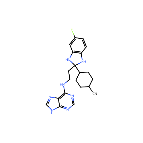 N#CC1CCC(C2(CCNc3ncnc4[nH]cnc34)Nc3ccc(F)cc3N2)CC1